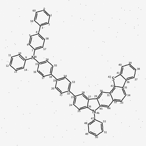 c1ccc(-c2ccc(N(c3ccccc3)c3ccc(-c4ccc(-c5ccc6c(c5)c5cc7c(ccc8c9ccccc9sc78)cc5n6-c5ccccc5)cc4)cc3)cc2)cc1